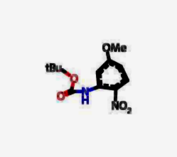 COc1ccc([N+](=O)[O-])c(NC(=O)OC(C)(C)C)c1